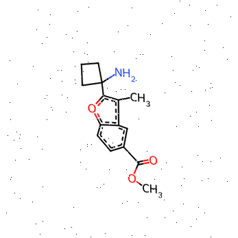 COC(=O)c1ccc2oc(C3(N)CCC3)c(C)c2c1